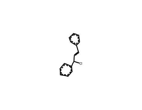 ClC(/C=C/c1ccccc1)c1ccccc1